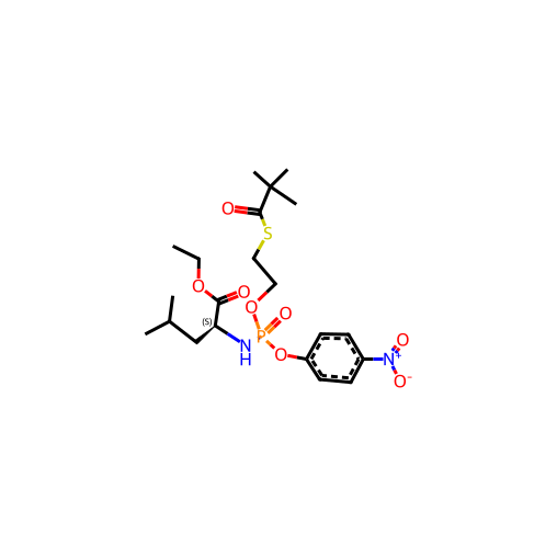 CCOC(=O)[C@H](CC(C)C)NP(=O)(OCCSC(=O)C(C)(C)C)Oc1ccc([N+](=O)[O-])cc1